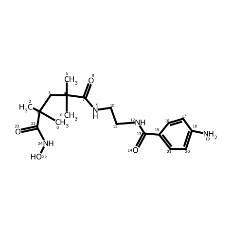 CC(C)(CC(C)(C)C(=O)NCCNC(=O)c1ccc(N)cc1)C(=O)NO